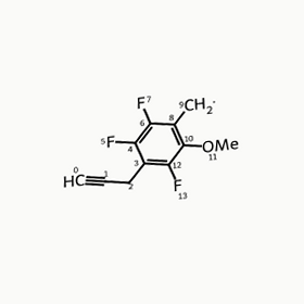 C#CCc1c(F)c(F)c([CH2])c(OC)c1F